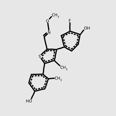 CON=Cc1sc(-c2ccc(O)cc2C)c(C)c1-c1ccc(O)c(F)c1